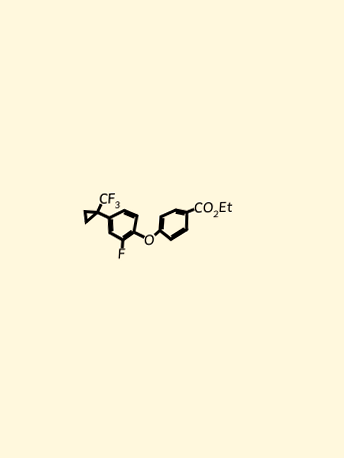 CCOC(=O)c1ccc(Oc2ccc(C3(C(F)(F)F)CC3)cc2F)cc1